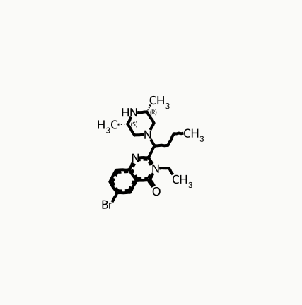 CCCC(c1nc2ccc(Br)cc2c(=O)n1CC)N1C[C@@H](C)N[C@@H](C)C1